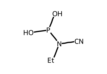 CCN(C#N)P(O)O